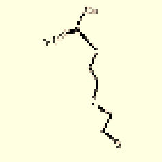 CC(C)(C)C(OCCOCCBr)C(=O)O